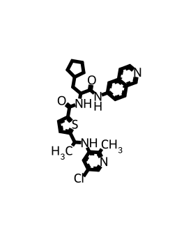 Cc1ncc(Cl)cc1NC(C)c1ccc(C(=O)NC(CC2CCCC2)C(=O)Nc2ccc3cnccc3c2)s1